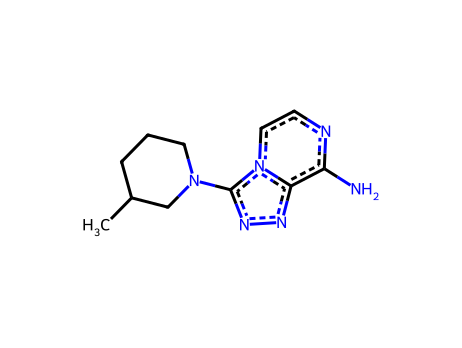 CC1CCCN(c2nnc3c(N)nccn23)C1